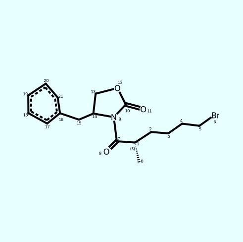 C[C@@H](CCCCBr)C(=O)N1C(=O)OCC1Cc1ccccc1